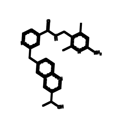 Cc1cc(N)nc(C)c1CNC(=O)c1ccnc(Cc2ccc3ncc(C(C)O)cc3c2)c1